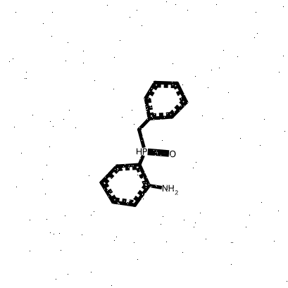 Nc1ccccc1[PH](=O)Cc1ccccc1